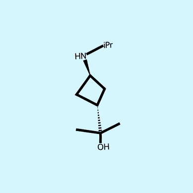 CC(C)N[C@H]1C[C@H](C(C)(C)O)C1